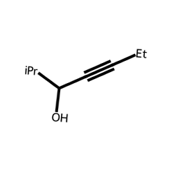 CCC#CC(O)C(C)C